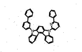 c1ccc(-c2cccc(-n3c4ccccc4c4c5c6ccccc6n(-c6cccc(-c7ccccc7)n6)c5ccc43)c2)cc1